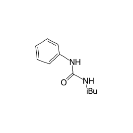 [CH2]C(CC)NC(=O)Nc1ccccc1